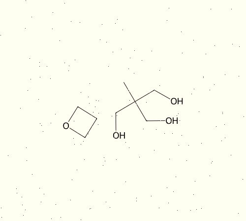 C1COC1.CC(CO)(CO)CO